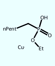 CCCCCCP(=O)(O)OCC.[Cu]